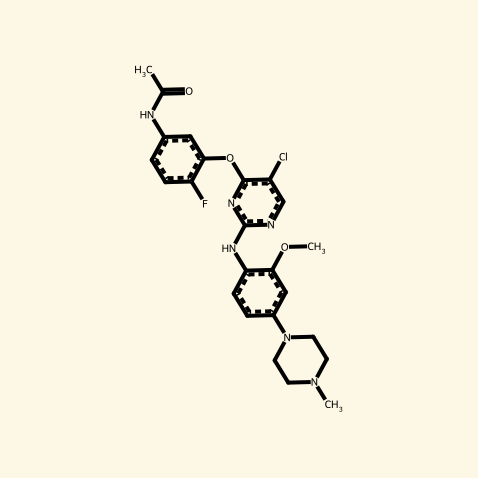 COc1cc(N2CCN(C)CC2)ccc1Nc1ncc(Cl)c(Oc2cc(NC(C)=O)ccc2F)n1